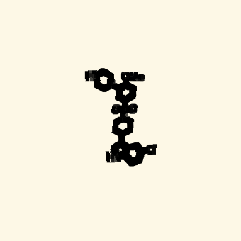 COc1ccc(S(=O)(=O)N2CCC(c3c[nH]c4ccc(Cl)cc34)CC2)cc1N1CCNCC1